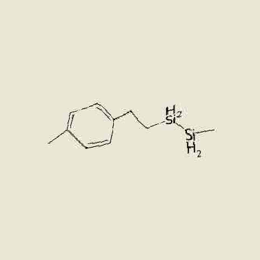 C[SiH2][SiH2]CCc1ccc(C)cc1